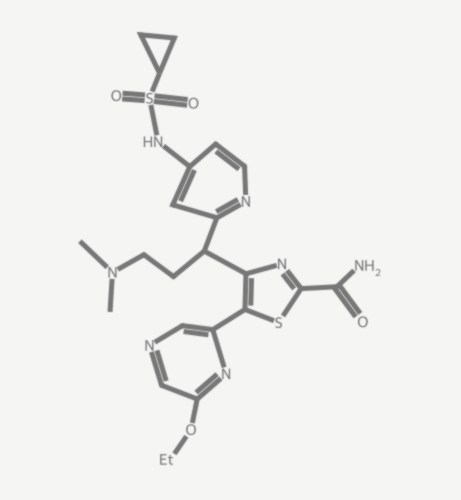 CCOc1cncc(-c2sc(C(N)=O)nc2C(CCN(C)C)c2cc(NS(=O)(=O)C3CC3)ccn2)n1